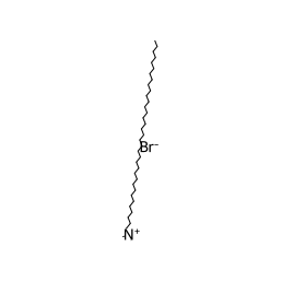 CCCCCCCCCCCCCCCCCCCCCCCCCCCCCCCCCCC[N+](C)(C)C.[Br-]